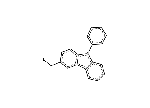 ICc1ccc2c(c1)c1ccccc1n2-c1ccccc1